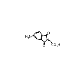 Nc1ccc2c(c1)C(=O)N(CC(=O)O)C2=O